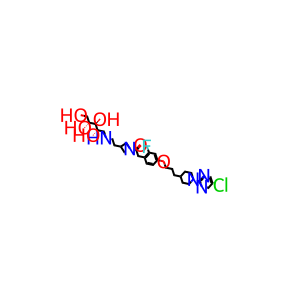 O=C(Cc1ccc(OCCCC2CCN(c3ncc(Cl)cn3)CC2)cc1F)N1CC(CCNC[C@H](O)[C@H](O)[C@H](O)CO)C1